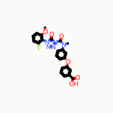 COc1cccc(F)c1-n1nnn(C(=O)N(C)c2cccc(Oc3cccc(C(=O)O)c3)c2)c1=O